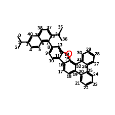 CC(C)c1ccc2c(-c3ccc4c(c3)oc3c4ccc4c5ccccc5c5ccccc5c43)c(C(C)C)ccc2c1